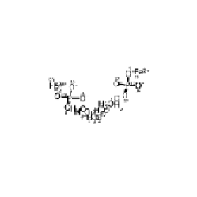 O.O.O.O.O.O.O.O.O=P([O-])([O-])[O-].O=P([O-])([O-])[O-].[Fe+2].[Fe+2].[Fe+2]